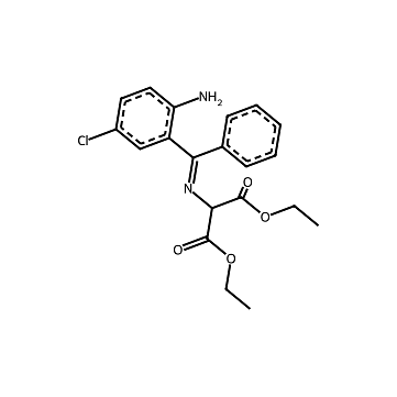 CCOC(=O)C(N=C(c1ccccc1)c1cc(Cl)ccc1N)C(=O)OCC